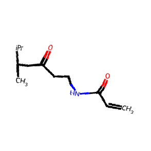 C=CC(=O)NCCC(=O)C(C)C(C)C